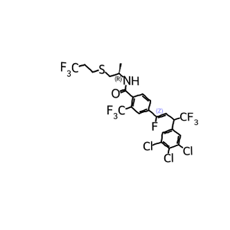 C[C@H](CSCCC(F)(F)F)NC(=O)c1ccc(/C(F)=C/C(c2cc(Cl)c(Cl)c(Cl)c2)C(F)(F)F)cc1C(F)(F)F